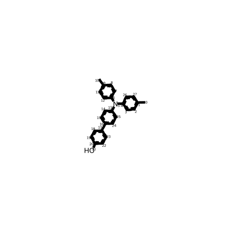 Cc1ccc(N(c2ccc(C)cc2)c2ccc(-c3ccc(O)cc3)cc2)cc1